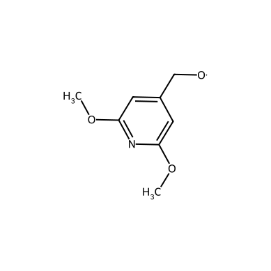 COc1cc(C[O])cc(OC)n1